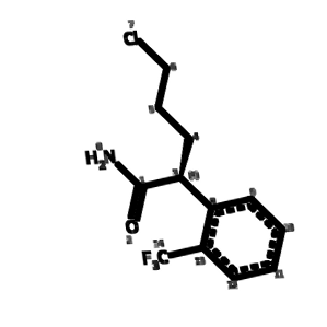 NC(=O)[C@@H](CCCCl)c1ccccc1C(F)(F)F